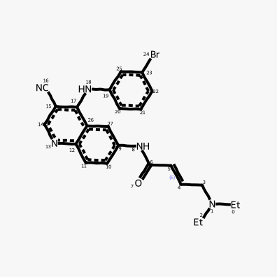 CCN(CC)C/C=C/C(=O)Nc1ccc2ncc(C#N)c(Nc3cccc(Br)c3)c2c1